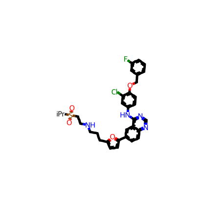 CC(C)S(=O)(=O)CCNCCCc1ccc(-c2ccc3ncnc(Nc4ccc(OCc5cccc(F)c5)c(Cl)c4)c3c2)o1